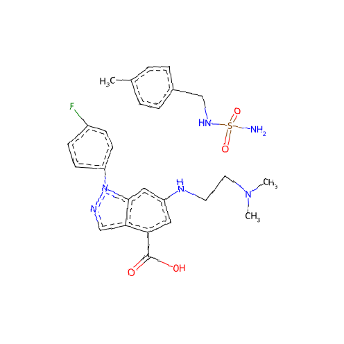 CN(C)CCNc1cc(C(=O)O)c2cnn(-c3ccc(F)cc3)c2c1.Cc1ccc(CNS(N)(=O)=O)cc1